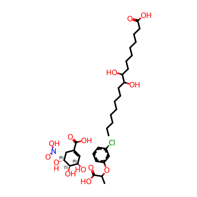 CC(Oc1cccc(Cl)c1)C(=O)O.CCCCCCCCC(O)C(O)CCCCCCCC(=O)O.O=C(O)C1=C[C@@H](O)[C@@H](O)[C@H](O)C1.O=NO